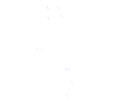 CC(C)(COc1cccc2c1C(N)=NS(=O)(=O)N2)NC(=O)c1ccn2nnnc2c1